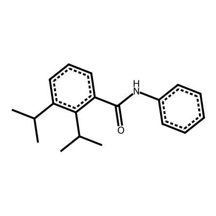 CC(C)c1cccc(C(=O)Nc2ccccc2)c1C(C)C